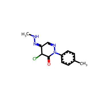 CN/N=C1\C=NN(c2ccc(C)cc2)C(=O)C1Cl